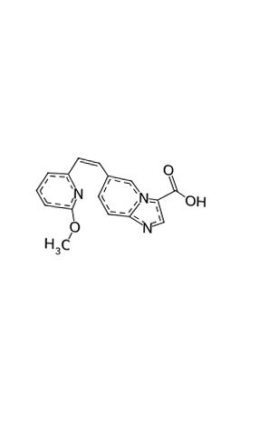 COc1cccc(/C=C\c2ccc3ncc(C(=O)O)n3c2)n1